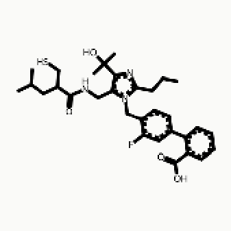 CCCc1nc(C(C)(C)O)c(CNC(=O)C(CS)CC(C)C)n1Cc1ccc(-c2ccccc2C(=O)O)cc1F